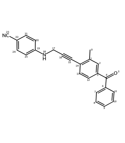 Cc1cc(C(=O)c2ccccc2)ccc1C#CCNc1ccc(C#N)cc1